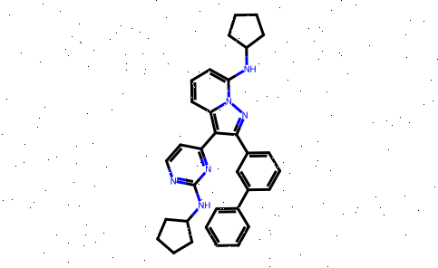 c1ccc(-c2cccc(-c3nn4c(NC5CCCC5)cccc4c3-c3ccnc(NC4CCCC4)n3)c2)cc1